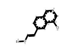 CCOC=Cc1ccc2cncc(Cl)c2c1